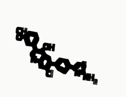 COc1cccc(-c2cnc3cc(Cl)c(-c4ccc(-c5csc(N)n5)cc4)cc3c2O)c1